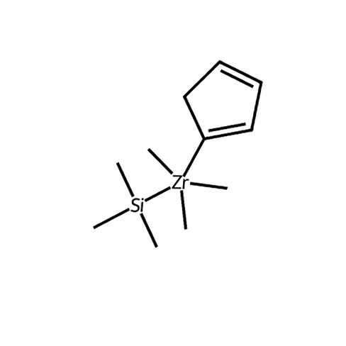 C[Si](C)(C)[Zr]([CH3])([CH3])([CH3])[C]1=CC=CC1